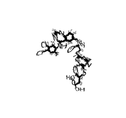 O=C(O)CC(Sc1nnc(SCC(=O)Nc2ccc3ncnc(Nc4cc(Cl)c(Cl)cc4F)c3c2)s1)C(=O)O